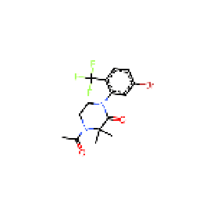 CC(=O)N1CCN(c2cc(Br)ccc2C(F)(F)F)C(=O)C1(C)C